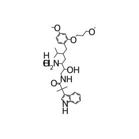 COCCCOc1cc(OC)ccc1CC(CC(N)C(O)CNC(=O)C(C)(C)c1c[nH]c2ccccc12)C(C)C.Cl